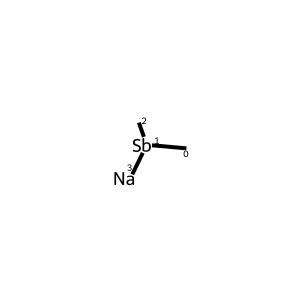 [CH3][Sb]([CH3])[Na]